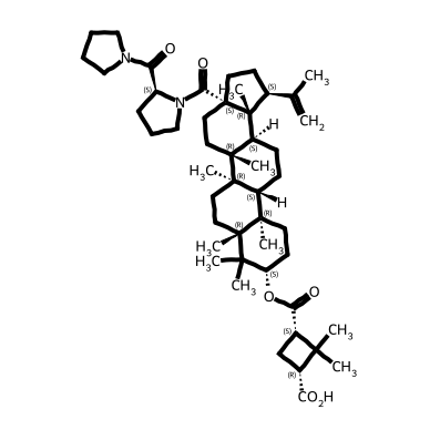 C=C(C)[C@@H]1CC[C@]2(C(=O)N3CCC[C@H]3C(=O)N3CCCC3)CC[C@]3(C)[C@H](CC[C@@H]4[C@@]5(C)CC[C@H](OC(=O)[C@H]6C[C@@H](C(=O)O)C6(C)C)C(C)(C)[C@]5(C)CC[C@]43C)[C@@]12C